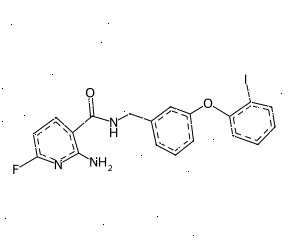 Nc1nc(F)ccc1C(=O)NCc1cccc(Oc2ccccc2I)c1